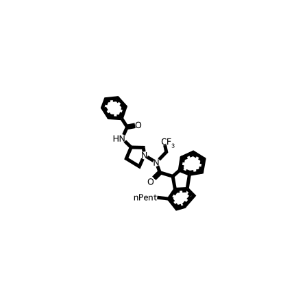 CCCCCc1cccc2c1C(C(=O)N(CC(F)(F)F)N1CCC(NC(=O)c3ccccc3)C1)c1ccccc1-2